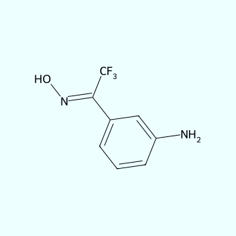 Nc1cccc(/C(=N/O)C(F)(F)F)c1